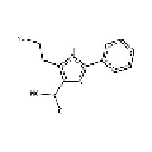 CC(C#N)c1nc(-c2ccccc2)[nH]c1CCC#N